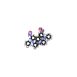 O=Nc1cccc(N(c2ccccc2)c2cccc3c2c2cccc4c5c(N(c6ccccc6)c6cccc(N=O)c6)cccc5n3c24)c1